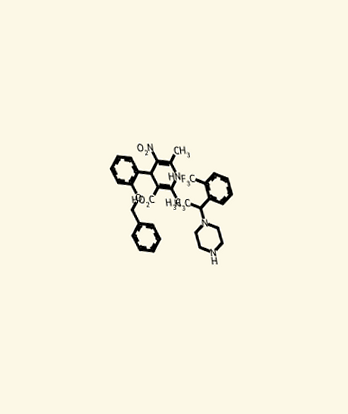 CC(c1ccccc1C(F)(F)F)N1CCNCC1.CC1=C(C(=O)O)C(c2ccccc2OCc2ccccc2)C([N+](=O)[O-])=C(C)N1